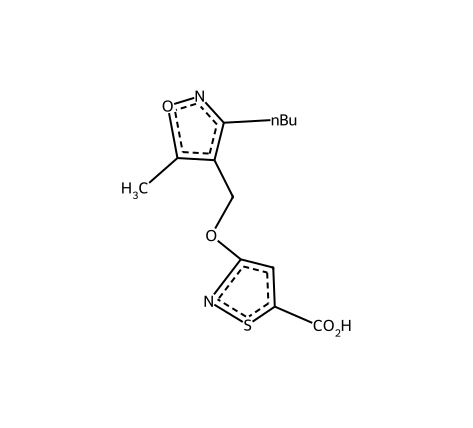 CCCCc1noc(C)c1COc1cc(C(=O)O)sn1